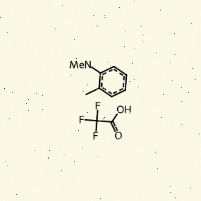 CNc1ccccc1C.O=C(O)C(F)(F)F